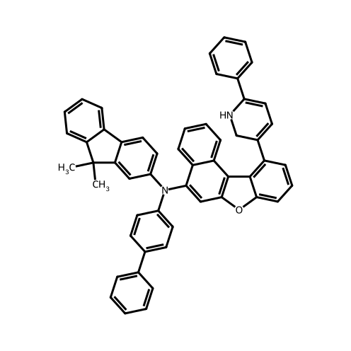 CC1(C)c2ccccc2-c2ccc(N(c3ccc(-c4ccccc4)cc3)c3cc4oc5cccc(C6=CC=C(c7ccccc7)NC6)c5c4c4ccccc34)cc21